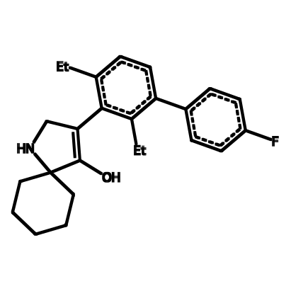 CCc1ccc(-c2ccc(F)cc2)c(CC)c1C1=C(O)C2(CCCCC2)NC1